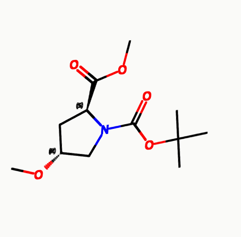 COC(=O)[C@@H]1C[C@@H](OC)CN1C(=O)OC(C)(C)C